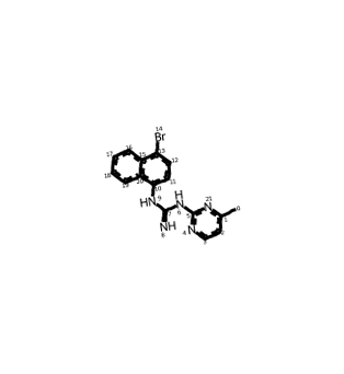 Cc1ccnc(NC(=N)Nc2ccc(Br)c3ccccc23)n1